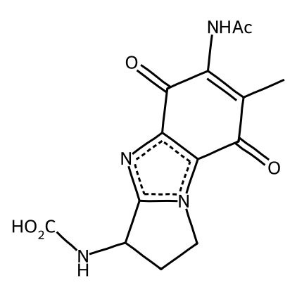 CC(=O)NC1=C(C)C(=O)c2c(nc3n2CCC3NC(=O)O)C1=O